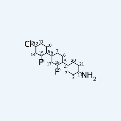 NC1CCC(C2CCC(C3CCC(Cl)CC3F)CC2F)CC1